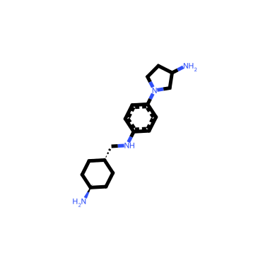 NC1CCN(c2ccc(NC[C@H]3CC[C@H](N)CC3)cc2)C1